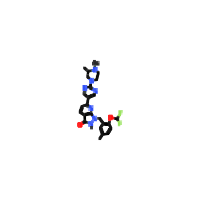 CC(=O)N1CCN(c2ncc(-c3ccc4c(=O)n(C)n(Cc5cc(C)ccc5OC(F)F)c4n3)cn2)CC1C